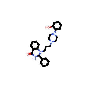 O=C1NC(c2ccccc2)N(CCCN2CCN(c3ccccc3O)CC2)c2ccccc21